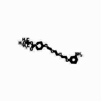 CC(C)(C)OC(=O)N1CCC(OCCOCCOCCOc2cccc(N)c2)CC1